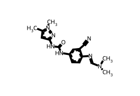 Cc1cc(NC(=O)Nc2ccc(/N=C/N(C)C)c(C#N)c2)nn1C